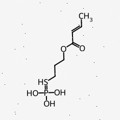 CC=CC(=O)OCCC[SH]=P(O)(O)O